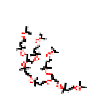 CC(C)OCCC(C)(C)OCC(COC(C)(C)CCOC(C)C)OCCC(C)(C)OCCC(C)(C)OC(COC(C)(C)CCOC(C)C)COC(C)(C)CCOC(C)C